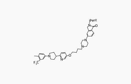 CCCC(C)N1Cc2cc(N3CCN(CCCCOc4ccc(C5CCN(c6ccc(C)c(C(F)(F)F)c6)CC5)nc4)CC3)ccc2C1=O